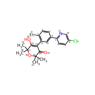 CCc1ccc(-c2ccc(Cl)cn2)cc1C1=C(O)C(C)(C)OC(C)(C)C1=O